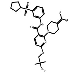 CC(C)(N)COc1ccc(C(=O)Nc2cccc(S(=O)(=O)C3CCCC3)c2)c(N2CCC(=C(F)F)CC2)n1